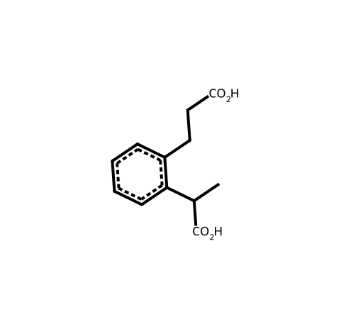 CC(C(=O)O)c1ccccc1CCC(=O)O